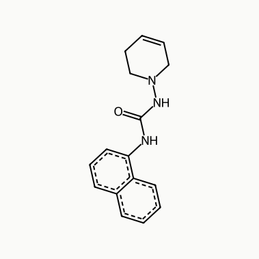 O=C(Nc1cccc2ccccc12)NN1CC=CCC1